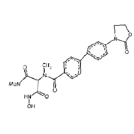 CNC(=O)C(C(=O)NO)N(C)C(=O)c1ccc(-c2ccc(N3CCOC3=O)cc2)cc1